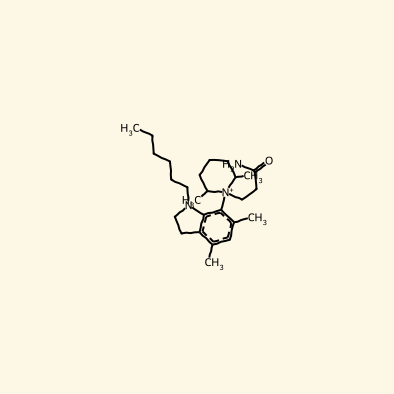 CCCCCCN1CCc2c(C)cc(C)c([N+]3(CCC(N)=O)C(C)CCCC3C)c21